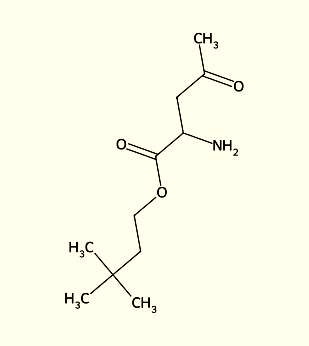 CC(=O)CC(N)C(=O)OCCC(C)(C)C